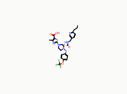 CCCc1ccc(CNC(=O)[C@H]2CN(c3nc(C)c(C(=O)O)s3)CCN2Sc2ccc(OC(F)(F)F)cc2)cn1